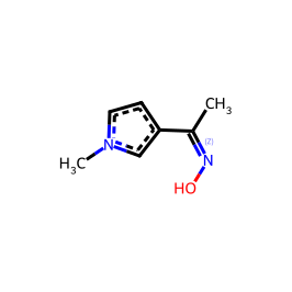 C/C(=N/O)c1ccn(C)c1